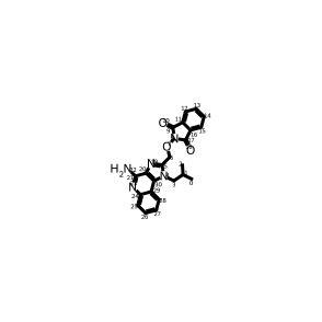 CC(C)Cn1c(CON2C(=O)c3ccccc3C2=O)nc2c(N)nc3ccccc3c21